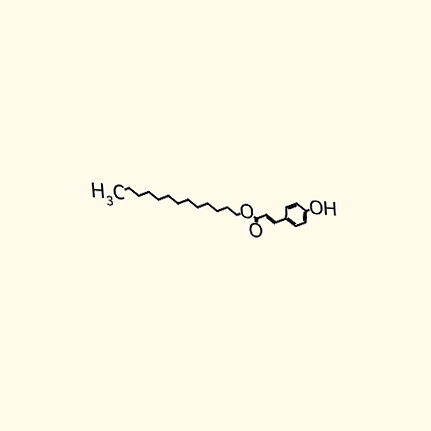 CCCCCCCCCCCCCOC(=O)/C=C/c1ccc(O)cc1